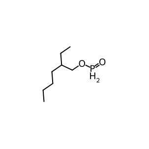 CCCCC(CC)CO[PH2]=O